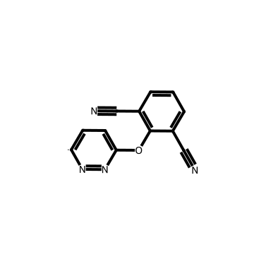 N#Cc1cccc(C#N)c1Oc1cc[c]nn1